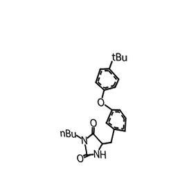 CCCCN1C(=O)NC(Cc2cccc(Oc3ccc(C(C)(C)C)cc3)c2)C1=O